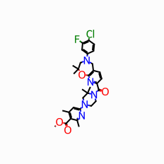 COC(=O)c1c(C)cc(N2CCN(C(=O)c3ccc4c(n3)OC(C)(C)CN(c3ccc(Cl)c(F)c3)C4)C(C)(C)C2)nc1C